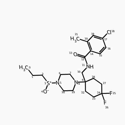 CCC[S+]([O-])N1CCN(C2(CNC(=O)c3ccc(Cl)cc3C)CCC(F)(F)CC2)CC1